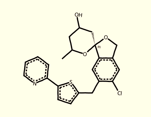 CC1CC(O)C[C@@]2(OCc3cc(Cl)c(Cc4ccc(-c5ccccn5)s4)cc32)O1